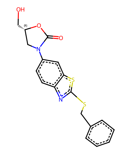 O=C1O[C@@H](CO)CN1c1ccc2nc(SCc3ccccc3)sc2c1